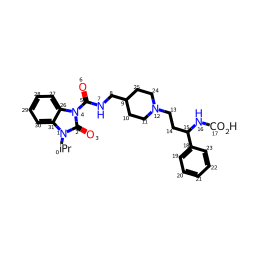 CC(C)n1c(=O)n(C(=O)NCC2CCN(CCC(NC(=O)O)c3ccccc3)CC2)c2ccccc21